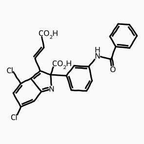 O=C(O)C=CC1=c2c(Cl)cc(Cl)cc2=NC1(C(=O)O)c1cccc(NC(=O)c2ccccc2)c1